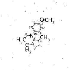 C=C1CCC(C)=C1N(CC)c1ccc(OC)cc1